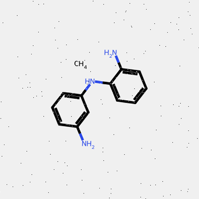 C.Nc1cccc(Nc2ccccc2N)c1